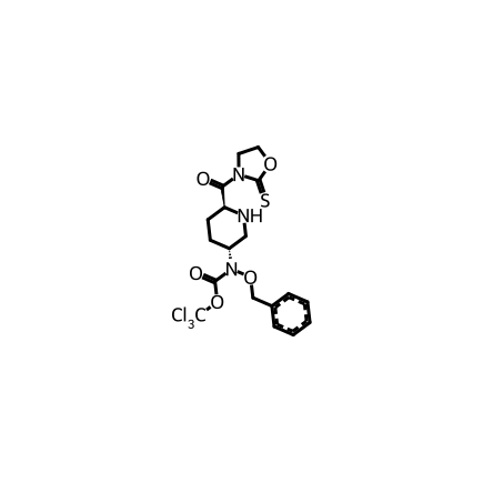 O=C([C@@H]1CC[C@@H](N(OCc2ccccc2)C(=O)OC(Cl)(Cl)Cl)CN1)N1CCOC1=S